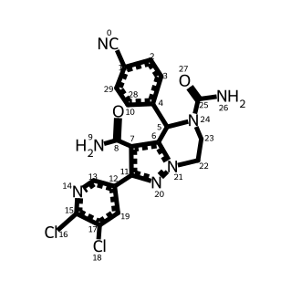 N#Cc1ccc(C2c3c(C(N)=O)c(-c4cnc(Cl)c(Cl)c4)nn3CCN2C(N)=O)cc1